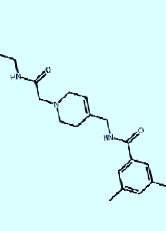 CCCNC(=O)CN1CC=C(CNC(=O)c2cc(C)cc(F)c2)CC1